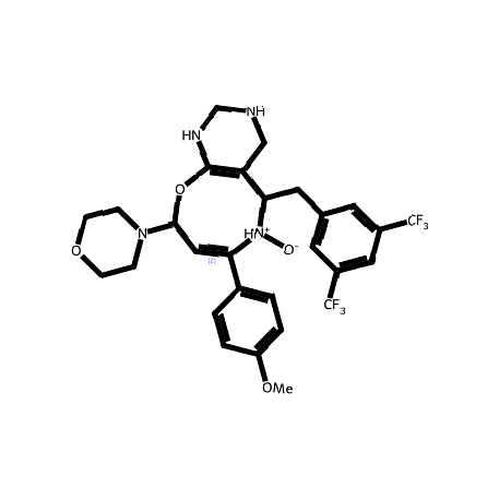 COc1ccc(/C2=C/C(N3CCOCC3)OC3=C(CNCN3)C(Cc3cc(C(F)(F)F)cc(C(F)(F)F)c3)[NH+]2[O-])cc1